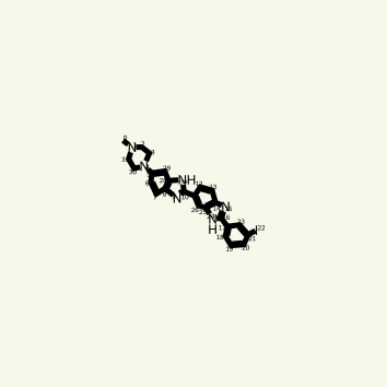 CN1CCN(c2ccc3nc(-c4ccc5nc(-c6cccc(I)c6)[nH]c5c4)[nH]c3c2)CC1